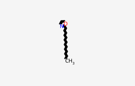 CCCCCCCCCCCCCCCC1=NC=CCO1